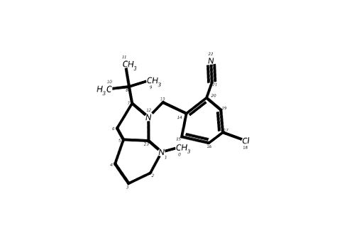 CN1CCCC2CC(C(C)(C)C)N(Cc3ccc(Cl)cc3C#N)C21